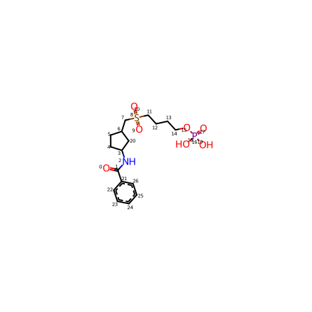 O=C(NC1CCC(CS(=O)(=O)CCCCOP(=O)(O)O)C1)c1ccccc1